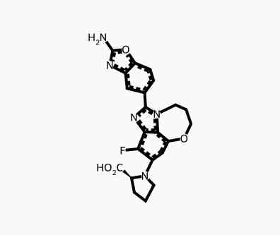 Nc1nc2cc(-c3nc4c(F)c(N5CCC[C@H]5C(=O)O)cc5c4n3CCCO5)ccc2o1